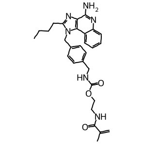 C=C(C)C(=O)NCCOC(=O)NCc1ccc(Cn2c(CCCC)nc3c(N)nc4ccccc4c32)cc1